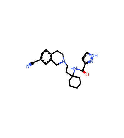 N#Cc1ccc2c(c1)CN(CCC1(NC(=O)c3cc[nH]n3)CCCCC1)CC2